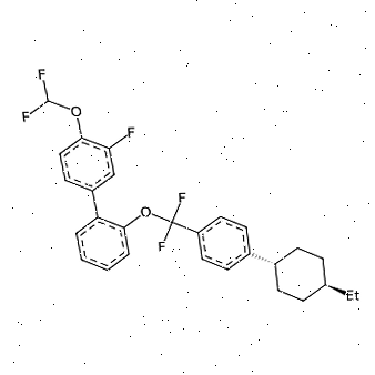 CC[C@H]1CC[C@H](c2ccc(C(F)(F)Oc3ccccc3-c3ccc(OC(F)F)c(F)c3)cc2)CC1